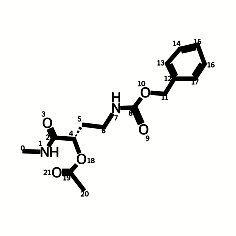 CNC(=O)[C@H](CCNC(=O)OCc1ccccc1)OC(C)=O